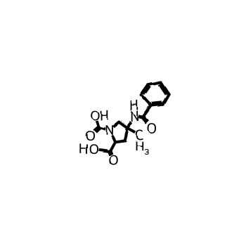 CC1(NC(=O)c2ccccc2)CC(C(=O)O)N(C(=O)O)C1